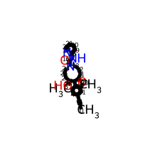 CC#Cc1cc(C)c(C2C(=O)CCCN(C(=O)Nc3ccccn3)CCCC2O)c(C)c1